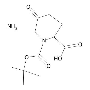 CC(C)(C)OC(=O)N1CC(=O)CCC1C(=O)O.N